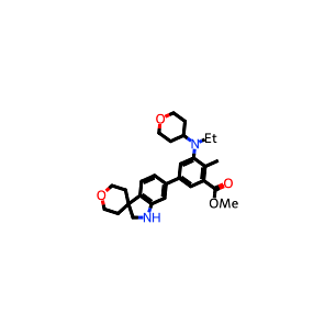 CCN(c1cc(-c2ccc3c(c2)NCC32CCOCC2)cc(C(=O)OC)c1C)C1CCOCC1